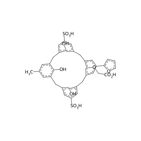 Cc1cc2c(O)c(c1)Cc1cc(S(=O)(=O)O)cc(c1O)Cc1cc(-c3ccco3)cc(c1OCC(=O)O)Cc1cc(S(=O)(=O)O)cc(c1O)C2